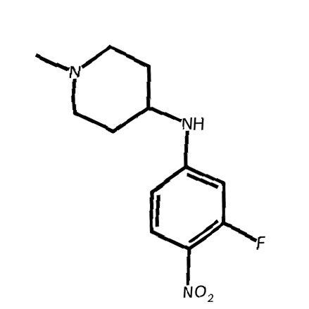 CN1CCC(Nc2ccc([N+](=O)[O-])c(F)c2)CC1